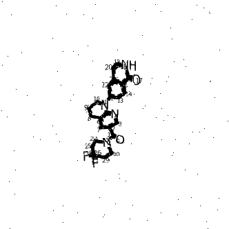 O=C(c1cnc2c(c1)CCCN2c1ccc2c(=O)[nH]ccc2c1)N1CCC(F)(F)CC1